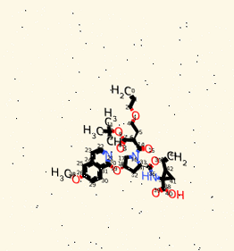 C=CCOCC[C@H](C(=O)OC(C)(C)C)C(=O)N1C[C@H](Oc2nccc3cc(OC)ccc23)C[C@H]1C(=O)NC1(C(=O)O)CC1C=C